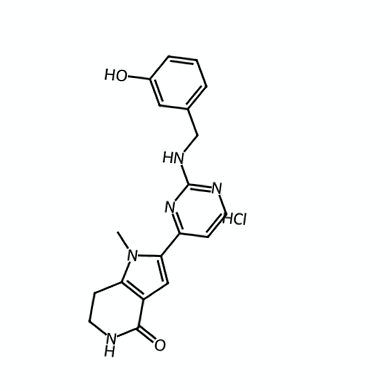 Cl.Cn1c(-c2ccnc(NCc3cccc(O)c3)n2)cc2c1CCNC2=O